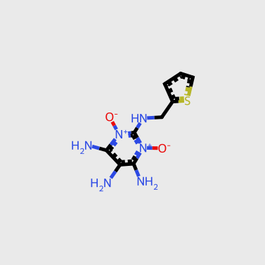 Nc1c(N)[n+]([O-])c(NCc2cccs2)[n+]([O-])c1N